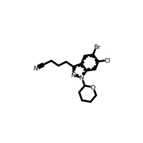 N#CCCCc1nn(C2CCCCO2)c2cc(Cl)c(Br)cc12